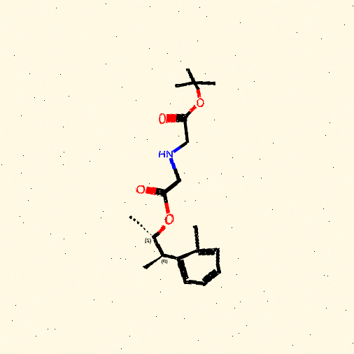 Cc1ccccc1[C@@H](C)[C@H](C)OC(=O)CNCC(=O)OC(C)(C)C